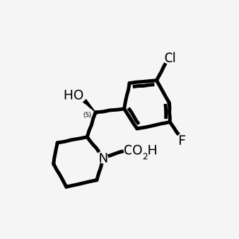 O=C(O)N1CCCCC1[C@@H](O)c1cc(F)cc(Cl)c1